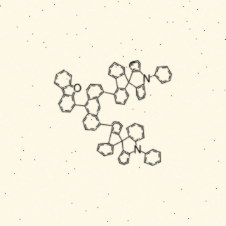 c1ccc(N2c3ccccc3C3(c4ccccc4-c4c(-c5cccc6c(-c7cccc8c7oc7ccccc78)c7cccc(-c8cccc9c8-c8ccccc8C98c9ccccc9N(c9ccccc9)c9ccccc98)c7cc56)cccc43)c3ccccc32)cc1